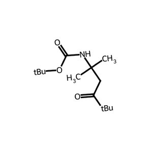 CC(C)(CC(=O)C(C)(C)C)NC(=O)OC(C)(C)C